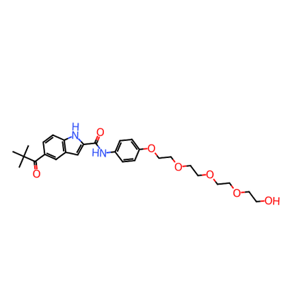 CC(C)(C)C(=O)c1ccc2[nH]c(C(=O)Nc3ccc(OCCOCCOCCOCCO)cc3)cc2c1